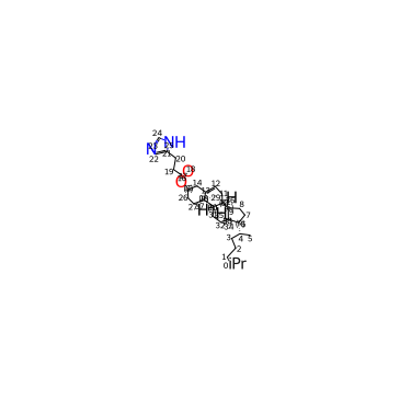 CC(C)CCCC(C)[C@H]1CC[C@H]2[C@@H]3CC=C4C[C@@H](OC(=O)CCc5cnc[nH]5)CC[C@]4(C)[C@H]3CC[C@]12C